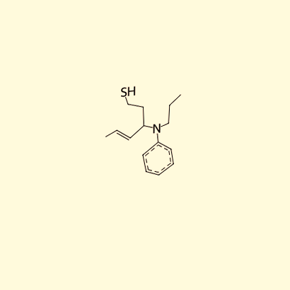 CC=CC(CCS)N(CCC)c1ccccc1